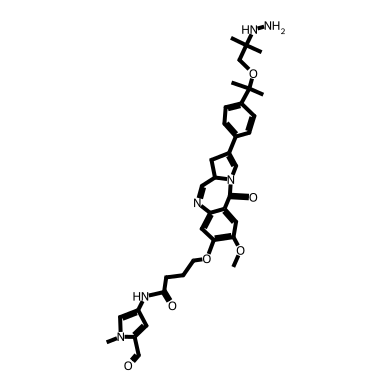 COc1cc2c(cc1OCCCC(=O)Nc1cc(C=O)n(C)c1)N=CC1CC(c3ccc(C(C)(C)OCC(C)(C)NN)cc3)=CN1C2=O